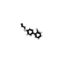 C=CCOc1ccc(-c2ccccc2C)cc1